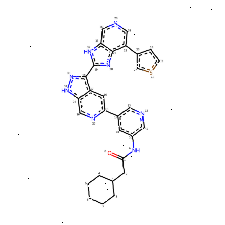 O=C(CC1CCCCC1)Nc1cncc(-c2cc3c(-c4nc5c(-c6ccsc6)cncc5[nH]4)n[nH]c3cn2)c1